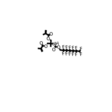 C=C(C)C(=O)OCC(C)(COC(=O)C(=C)C)NC(=O)OCC(F)(F)C(F)(F)C(F)(F)C(F)(F)C(F)(F)C(F)F